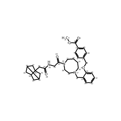 COC(=O)c1ccc(COc2ccccc2CN2CCCCN(C(=O)CNC(=O)CC34CC5CC3CC5C4)CC2)cc1